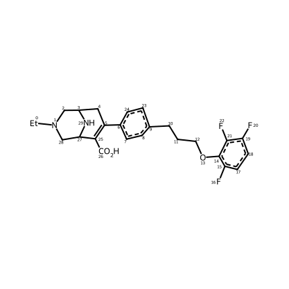 CCN1CC2CC(c3ccc(CCCOc4c(F)ccc(F)c4F)cc3)=C(C(=O)O)C(C1)N2